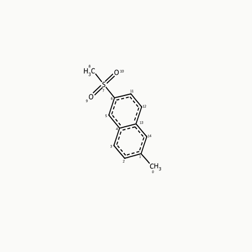 Cc1ccc2cc(S(C)(=O)=O)ccc2c1